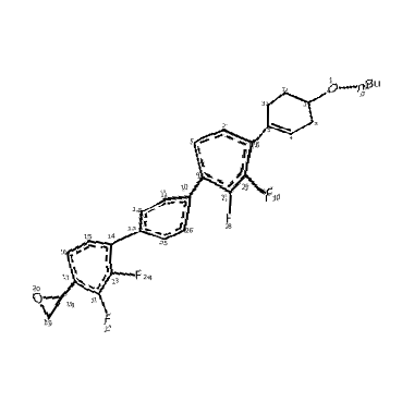 CCCCOC1CC=C(c2ccc(-c3ccc(-c4ccc(C5CO5)c(F)c4F)cc3)c(F)c2F)CC1